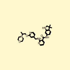 CC(COc1cc(CNc2ncccc2C(=O)Nc2ccc3c(c2)NCC3(C)C)ccn1)N1CCOCC1